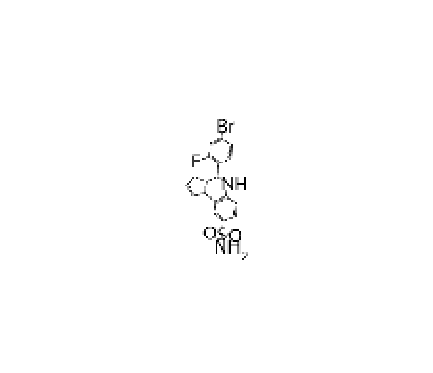 NS(=O)(=O)c1ccc2c(c1)C1C=CCC1C(c1ccc(Br)cc1F)N2